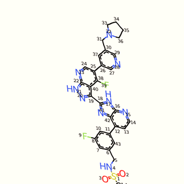 CS(=O)(=O)NCc1cc(F)cc(-c2ccnc3[nH]c(-c4n[nH]c5ncc(-c6cncc(CN7CCCC7)c6)c(F)c45)nc23)c1